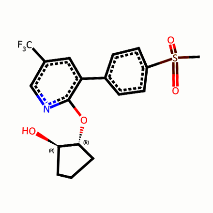 CS(=O)(=O)c1ccc(-c2cc(C(F)(F)F)cnc2O[C@@H]2CCC[C@H]2O)cc1